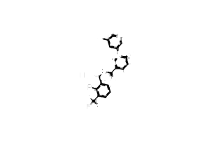 C[C@@H](NC(=O)c1ccc(=O)n(-c2cncc(Br)c2)n1)c1cccc(C(F)(F)F)c1F